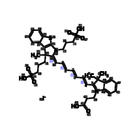 CC1(C)C(/C=C/C=C/C=C/C=C2\N(CCCS(=O)(=O)O)c3sc4ccccc4c3C2(C)CCCS(=O)(=O)O)=[N+](CCC(=O)O)c2ccccc21.[I-]